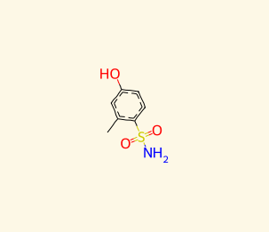 Cc1cc(O)ccc1S(N)(=O)=O